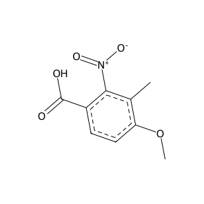 COc1ccc(C(=O)O)c([N+](=O)[O-])c1C